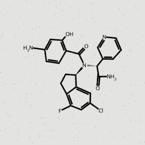 NC(=O)[C@@H](c1cccnc1)N(C(=O)c1ccc(N)cc1O)[C@@H]1CCc2c(F)cc(Cl)cc21